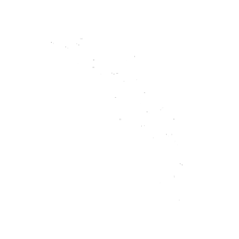 CC(C)(C)OC(=O)NCC(=S)N1CCN(c2ccc(N3C[C@H](CN=[N+]=[N-])OC3=O)cc2F)CC1